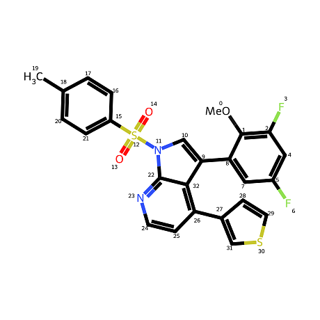 COc1c(F)cc(F)cc1-c1cn(S(=O)(=O)c2ccc(C)cc2)c2nccc(-c3ccsc3)c12